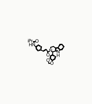 CC(C)C(=O)Nc1ccc(/C=C/C(=O)N2CCc3c([nH]c4ccccc34)C2c2ccc3c(c2)OCO3)cc1